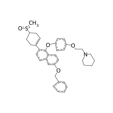 C[S+]([O-])C1CC=C(c2ccc3cc(OCc4ccccc4)ccc3c2Oc2ccc(OCCN3CCCCC3)cc2)CC1